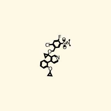 CN(C)S(=O)(=O)c1cc(COC2(c3cnccc3-c3ccccc3OC3CC3)CC2)c(Cl)cc1F